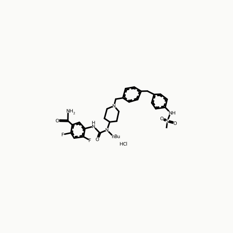 CCCCN(C(=O)Nc1cc(C(N)=O)c(F)cc1F)C1CCN(Cc2ccc(Cc3ccc(NS(C)(=O)=O)cc3)cc2)CC1.Cl